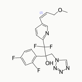 COC/C=C\c1ccc(C(F)(F)C(O)(Cn2cnnn2)c2ccc(F)cc2F)nc1